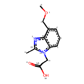 COCc1cccc2c1nc(C)n2CC(=O)O